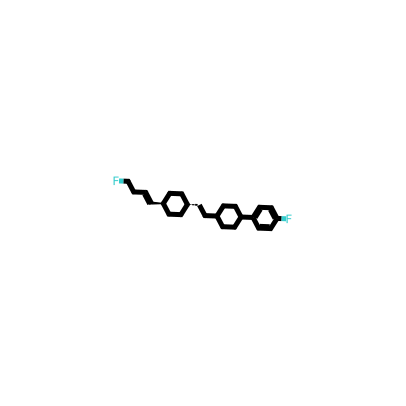 FCC/C=C/[C@H]1CC[C@H](CCC2CCC(c3ccc(F)cc3)CC2)CC1